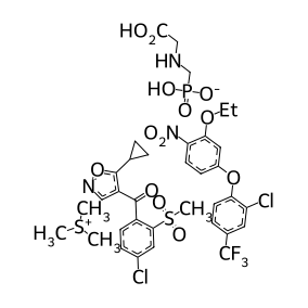 CCOc1cc(Oc2ccc(C(F)(F)F)cc2Cl)ccc1[N+](=O)[O-].CS(=O)(=O)c1cc(Cl)ccc1C(=O)c1cnoc1C1CC1.C[S+](C)C.O=C(O)CNCP(=O)([O-])O